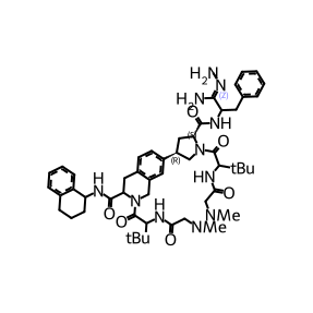 CNCC(=O)NC(C(=O)N1Cc2cc([C@H]3C[C@@H](C(=O)NC(Cc4ccccc4)/C(N)=N/N)N(C(=O)C(NC(=O)CNC)C(C)(C)C)C3)ccc2CC1C(=O)NC1CCCc2ccccc21)C(C)(C)C